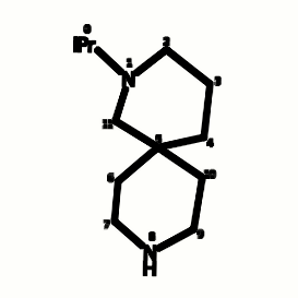 CC(C)N1CCCC2(CCNCC2)C1